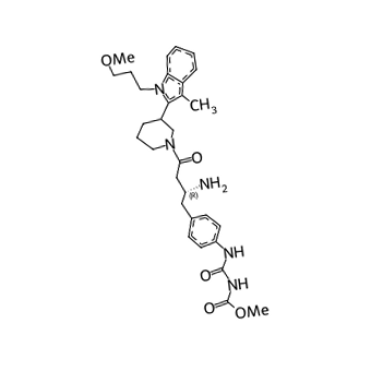 COCCCn1c(C2CCCN(C(=O)C[C@H](N)Cc3ccc(NC(=O)NC(=O)OC)cc3)C2)c(C)c2ccccc21